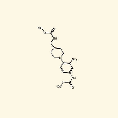 CC(C)(C)OC(=O)NCC1CCN(c2ccc(NC(=O)OC(C)(C)C)cc2N)CC1